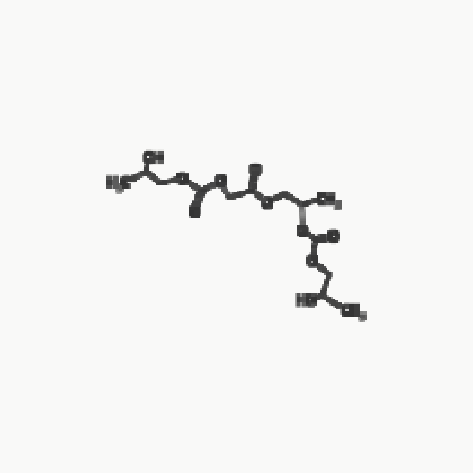 CC(O)COC(=O)OCC(=O)OCC(C)OC(=O)OCC(C)O